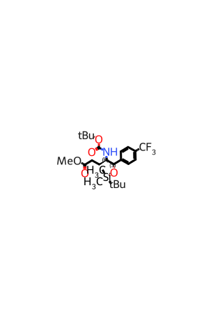 COC(=O)CC[C@@H](NC(=O)OC(C)(C)C)[C@@H](O[Si](C)(C)C(C)(C)C)c1ccc(C(F)(F)F)cc1